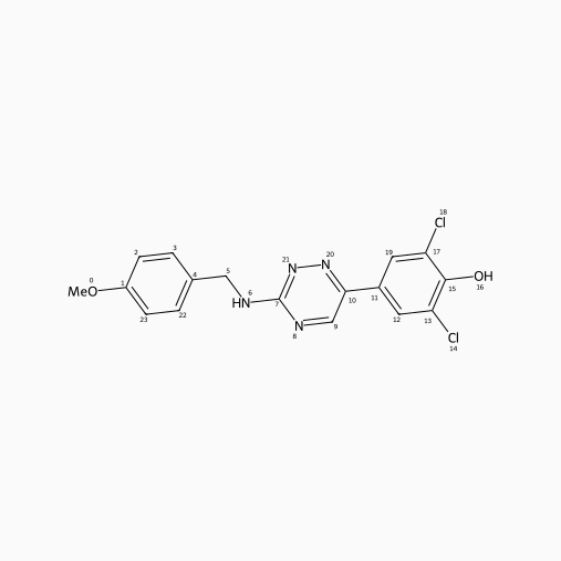 COc1ccc(CNc2ncc(-c3cc(Cl)c(O)c(Cl)c3)nn2)cc1